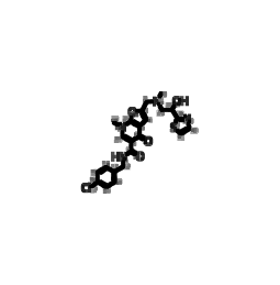 CN(Cc1cc2c(=O)c(C(=O)NCc3ccc(Cl)cc3)cn(C)c2o1)CC(O)c1nccs1